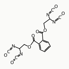 O=C=NC(COC(=O)c1ccccc1C(=O)OCC(N=C=O)N=C=O)N=C=O